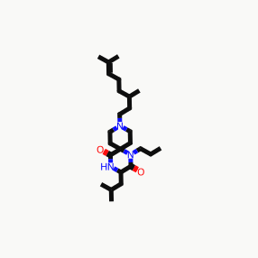 CCCN1C(=O)C(CC(C)C)NC(=O)C12CCN(CCC(C)CCC=C(C)C)CC2